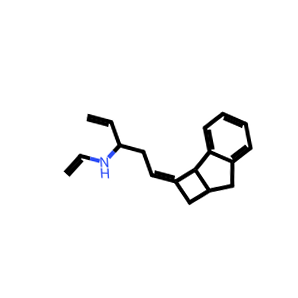 C=CNC(C=C)C/C=C1/CC2Cc3ccccc3C12